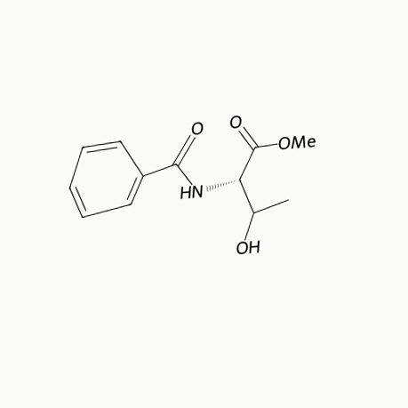 COC(=O)[C@@H](NC(=O)c1ccccc1)C(C)O